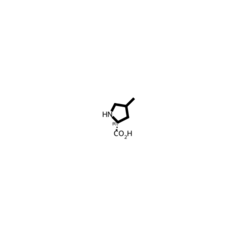 CC1CN[C@@H](C(=O)O)C1